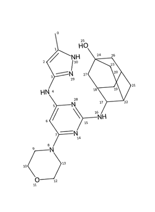 Cc1cc(Nc2cc(N3CCOCC3)nc(NC3C4CC5CC3CC(O)(C5)C4)n2)n[nH]1